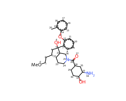 COCCCCC(O)(c1ccccc1Oc1ccccc1C)C1CCCN(C(=O)C2CCC(O)C(N)C2)C1